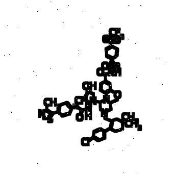 Cc1ncsc1-c1ccc([C@H](C)C(=O)N[C@@H]2C[C@@H](O)CN2C2CN(CC3=C(c4ccc(Cl)cc4)CCC(C)(C)C3)CC3COc4cc(C(=O)NS(=O)(=O)c5ccc(S(=O)(=O)C(F)(F)F)cc5)ccc4N32)cc1